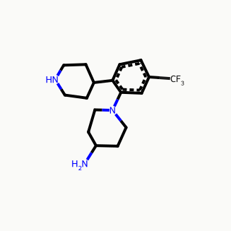 NC1CCN(c2cc(C(F)(F)F)ccc2C2CCNCC2)CC1